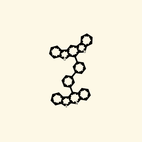 c1cc(-c2cccc(-c3c4ccccc4nc4sc5ccccc5c34)c2)cc(-c2c3oc4ccccc4c3cc3c2oc2ccccc23)c1